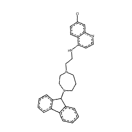 Clc1ccc2c(NCCN3CCCN(C4c5ccccc5-c5ccccc54)CC3)ccnc2c1